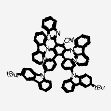 CC(C)(C)c1ccc2c(c1)c1ccccc1n2-c1ccc(-c2c(-c3ccc(-n4c5c(c6ccccc64)=CC(C(C)(C)C)CC=5)cc3)c(-n3c4ccccc4c4cccnc43)c(C#N)c(-c3nc4ccccc4o3)c2-n2c3ccccc3c3cccnc32)cc1